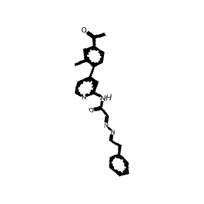 CC(=O)c1ccc(-c2ccnc(NC(=O)/C=N/N=C/Cc3ccccc3)c2)c(C)c1